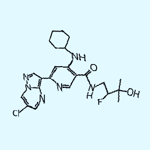 CC(C)(O)C(F)CNC(=O)c1cnc(-c2cnn3cc(Cl)cnc23)cc1NC1CCCCC1